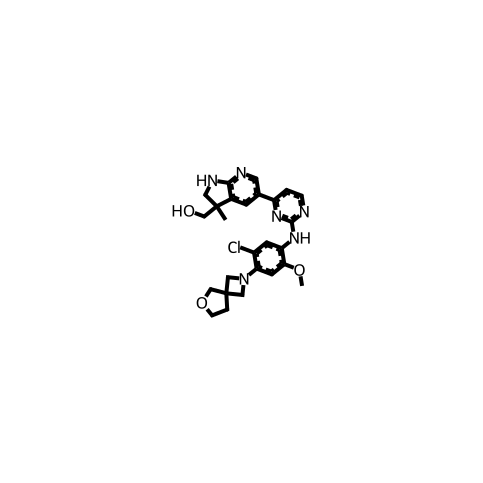 COc1cc(N2CC3(CCOC3)C2)c(Cl)cc1Nc1nccc(-c2cnc3c(c2)C(C)(CO)CN3)n1